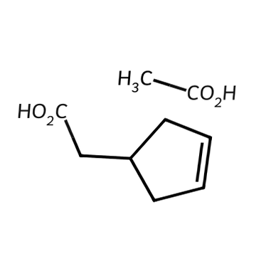 CC(=O)O.O=C(O)CC1CC=CC1